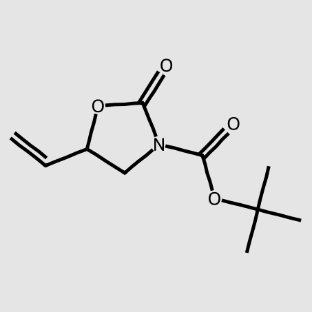 C=CC1CN(C(=O)OC(C)(C)C)C(=O)O1